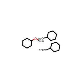 CC(=O)OC1CCCCC1.CCCCCC1CCCCC1.CCCCOC1CCCCC1